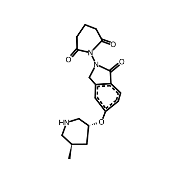 C[C@H]1CNC[C@H](Oc2ccc3c(c2)CN(N2C(=O)CCCC2=O)C3=O)C1